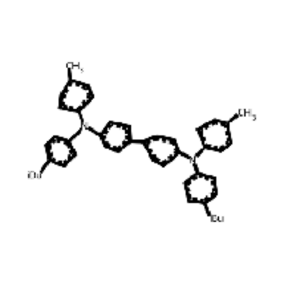 CCC(C)c1ccc(N(c2ccc(C)cc2)c2ccc(-c3ccc(N(c4ccc(C)cc4)c4ccc(C(C)CC)cc4)cc3)cc2)cc1